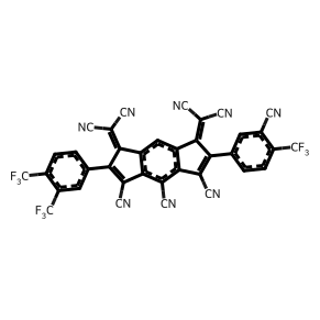 N#CC(C#N)=C1C(c2ccc(C(F)(F)F)c(C#N)c2)=C(C#N)c2c1cc1c(c2C#N)C(C#N)=C(c2ccc(C(F)(F)F)c(C(F)(F)F)c2)C1=C(C#N)C#N